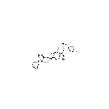 Cn1cc2c(n1)CC(C)(C)C=C2c1n[nH]c2nc(N3CCC4(CC3)Cc3ccccc3[C@H]4N)[nH]c(=O)c12